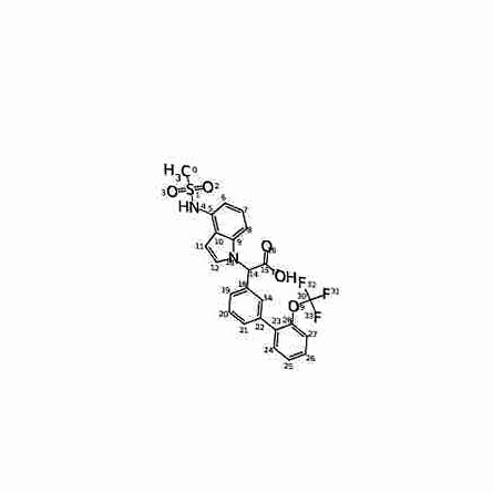 CS(=O)(=O)Nc1cccc2c1ccn2C(C(=O)O)c1cccc(-c2ccccc2OC(F)(F)F)c1